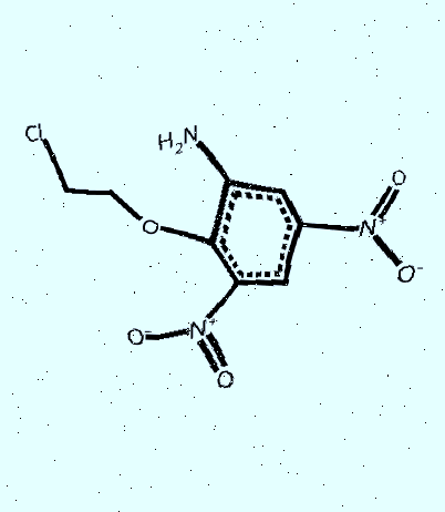 Nc1cc([N+](=O)[O-])cc([N+](=O)[O-])c1OCCCl